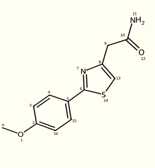 COc1ccc(-c2nc(CC(N)=O)cs2)cc1